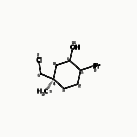 CC(C)C1CC[C@@](C)(CCl)CC1O